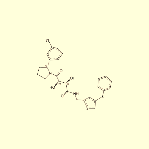 O=C(NCc1cc(Sc2ccccc2)cs1)[C@H](O)[C@@H](O)C(=O)N1CCC[C@@H]1c1cccc(Cl)c1